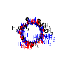 CCCC[C@H]1C(=O)N(C)[C@@H](CCCC)C(=O)N[C@@H](CCCNC(N)N)C(=O)N[C@H](C(=O)NCC(N)=O)CSCC(=O)N[C@@H](Cc2ccc(O)cc2)C(=O)N(C)[C@@H](CCC(=O)O)C(=O)N[C@@H](CC(N)=O)C(=O)N2CCC[C@H]2C(=O)N[C@@H](Cc2cnc[nH]2)C(=O)N[C@@H](CC(C)C)C(=O)N2CCC[C@H]2C(=O)N[C@@H](Cc2c[nH]c3ccccc23)C(=O)N[C@@H](CO)C(=O)N[C@@H](Cc2csc3ccccc23)C(=O)N1C